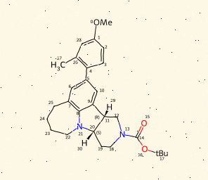 COc1ccc(-c2cc3c4c(c2)[C@@H]2CN(C(=O)OC(C)(C)C)CC[C@@H]2N4CCCC3)c(C)c1